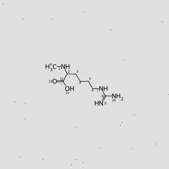 CNC(CCCCNC(=N)N)C(=O)O